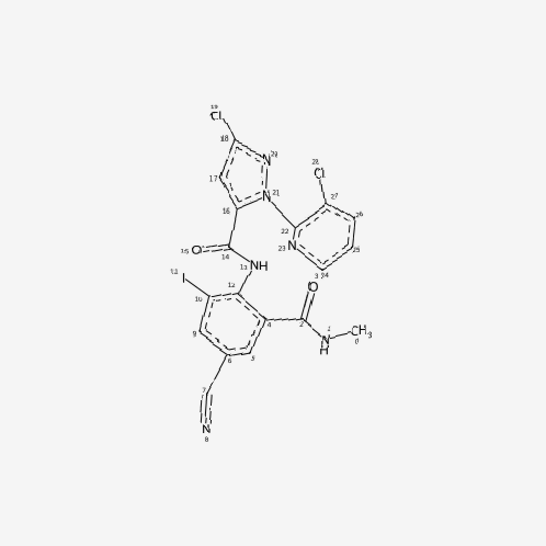 CNC(=O)c1cc(C#N)cc(I)c1NC(=O)c1cc(Cl)nn1-c1ncccc1Cl